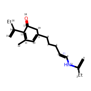 C=C(CC)N/C=C/CCCC1=CC(C)=C(C(=C)CC)C(=O)C1